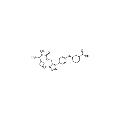 CC(C1CCC1)N(C)C(=O)OCc1c(-c2ccc(OC3CCCC(C(=O)O)C3)cc2)nnn1C